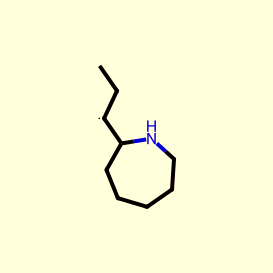 CC[CH]C1CCCCCN1